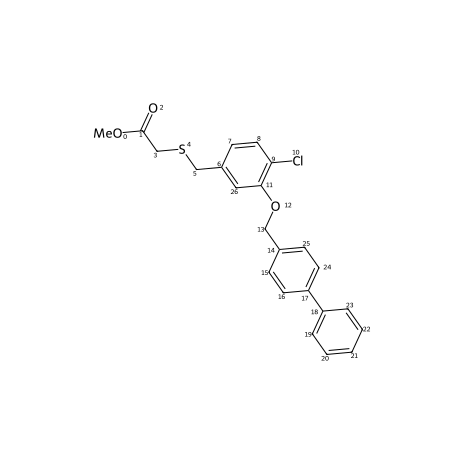 COC(=O)CSCc1ccc(Cl)c(OCc2ccc(-c3ccccc3)cc2)c1